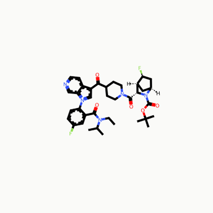 CCN(C(=O)c1cc(F)ccc1-n1cc(C(=O)C2CCN(C(=O)[C@@H]3[C@@H]4C[C@@H](C[C@@H]4F)N3C(=O)OC(C)(C)C)CC2)c2ccncc21)C(C)C